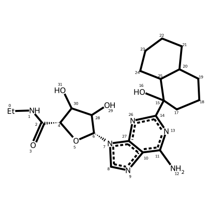 CCNC(=O)[C@H]1O[C@@H](n2cnc3c(N)nc(C4(O)CCCC5CCCCC54)nc32)C(O)C1O